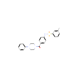 Cc1cccc(S(=O)(=O)Nc2ccc(C(=O)N3CCN(c4ccccc4)CC3)cc2)c1